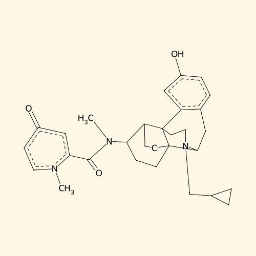 CN(C(=O)c1cc(=O)ccn1C)C1CCC23CCC1C21CCN(CC2CC2)C3Cc2ccc(O)cc21